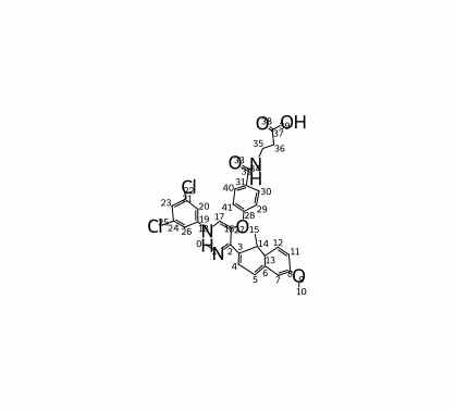 C/N=C(C1=CC=C2C=C(OC)C=CC2C1C)\C(=C/Nc1cc(Cl)cc(Cl)c1)Oc1ccc(C(=O)NCCC(=O)O)cc1